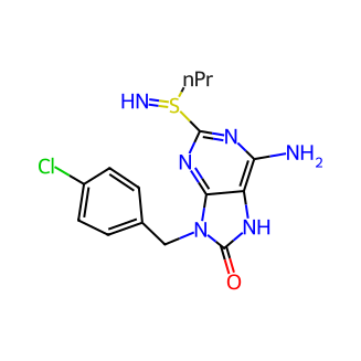 CCCS(=N)c1nc(N)c2[nH]c(=O)n(Cc3ccc(Cl)cc3)c2n1